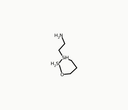 NCC[SiH]1CCCO[SiH2]1